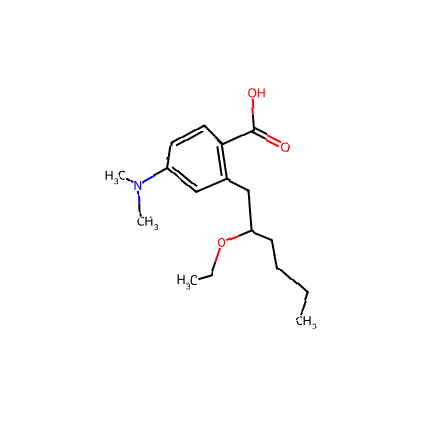 CCCCC(Cc1cc(N(C)C)ccc1C(=O)O)OCC